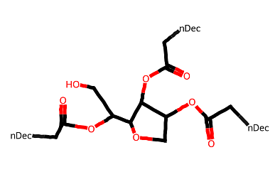 CCCCCCCCCCCC(=O)OC(CO)C1OCC(OC(=O)CCCCCCCCCCC)C1OC(=O)CCCCCCCCCCC